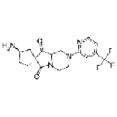 N[C@@H]1CC[C@]2(C1)C(=O)C1CN(c3cc(C(F)(F)F)ccn3)CCN1C2=O